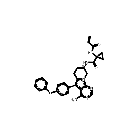 C=CC(=O)NC1(C(=O)N[C@@H]2CCc3c(-c4ccc(Oc5ccccc5)cc4)c4c(N)ncnc4n3C2)CC1